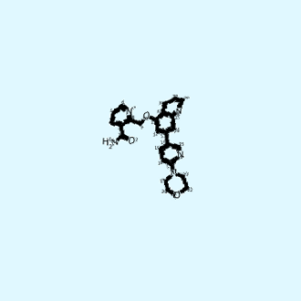 NC(=O)c1cccnc1COc1cc(-c2ccc(N3CCOCC3)nc2)cc2ncccc12